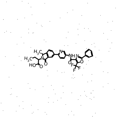 CCC(C(=O)O)N1C(=O)c2cc(-c3ccc(NC(=O)c4nc(-c5ccccc5)oc4C(F)(F)F)cn3)ccc2C1C